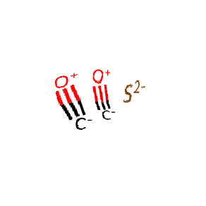 [C-]#[O+].[C-]#[O+].[S-2]